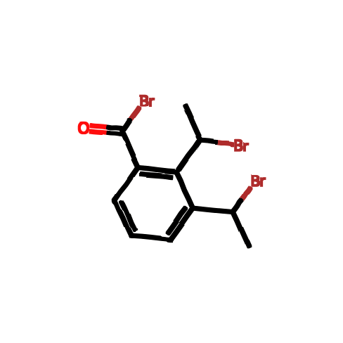 CC(Br)c1cccc(C(=O)Br)c1C(C)Br